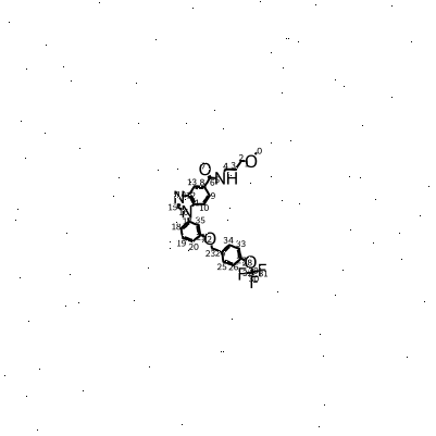 COCCCNC(=O)c1ccc2c(c1)ncn2-c1cccc(OCc2ccc(OC(F)(F)F)cc2)c1